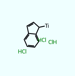 Cl.Cl.Cl.[Ti][CH]1C=Cc2ccccc21